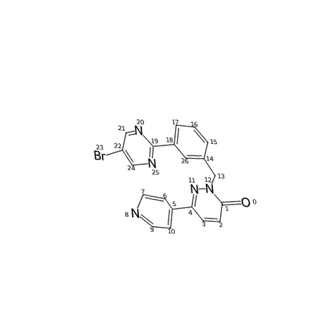 O=c1ccc(-c2ccncc2)nn1Cc1cccc(-c2ncc(Br)cn2)c1